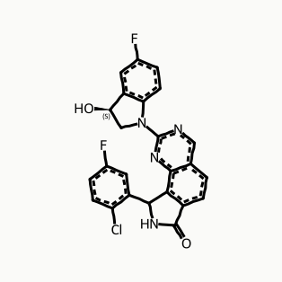 O=C1NC(c2cc(F)ccc2Cl)c2c1ccc1cnc(N3C[C@@H](O)c4cc(F)ccc43)nc21